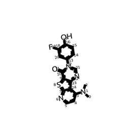 CN(C)c1ccnc2sc3c(=O)n(-c4ccc(O)c(F)c4)cnc3c12